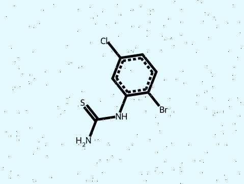 NC(=S)Nc1cc(Cl)ccc1Br